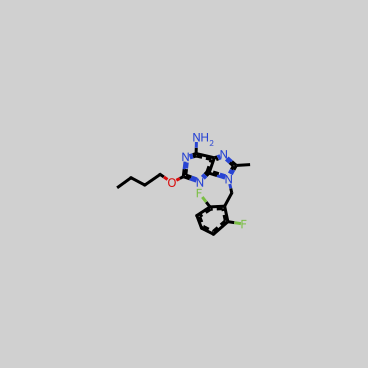 CCCCOc1nc(N)c2nc(C)n(Cc3c(F)cccc3F)c2n1